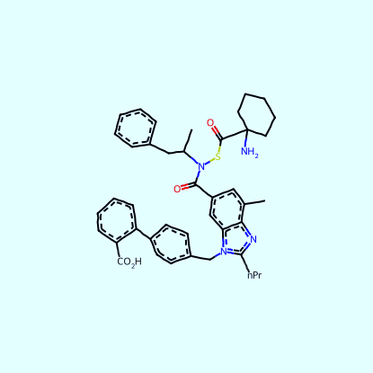 CCCc1nc2c(C)cc(C(=O)N(SC(=O)C3(N)CCCCC3)C(C)Cc3ccccc3)cc2n1Cc1ccc(-c2ccccc2C(=O)O)cc1